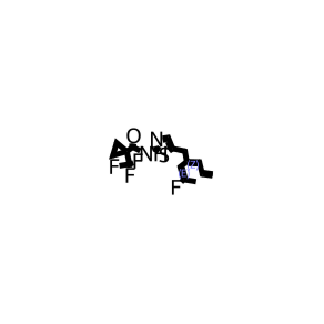 C=C/C=C(\C=C(/C)F)Cc1cnc(NC(=O)C2(C(F)(F)F)CC2)s1